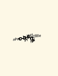 CCCN1CCC(c2cnc(-c3n[nH]c(-c4cc(OC)c5ncnn5c4)c3C(C)C)cc2C)CC1